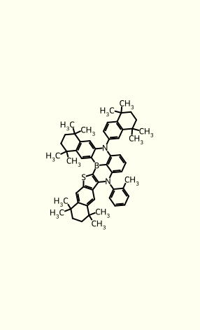 Cc1ccccc1N1c2cccc3c2B(c2cc4c(cc2N3c2ccc3c(c2)C(C)(C)CCC3(C)C)C(C)(C)CCC4(C)C)c2sc3cc4c(cc3c21)C(C)(C)CCC4(C)C